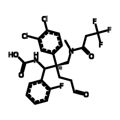 CN(C[C@](CCC=O)(c1ccc(Cl)c(Cl)c1)C(NC(=O)O)c1ccccc1F)C(=O)CC(F)(F)F